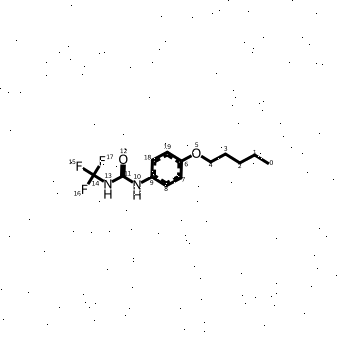 CCCCCOc1ccc(NC(=O)NC(F)(F)F)cc1